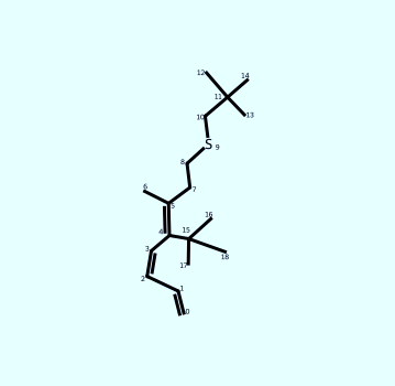 C=C/C=C\C(=C(/C)CCSCC(C)(C)C)C(C)(C)C